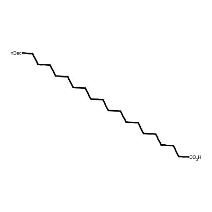 CCCCCCCCCCCCCCCCCCCCCCCCCCCCC(=O)O